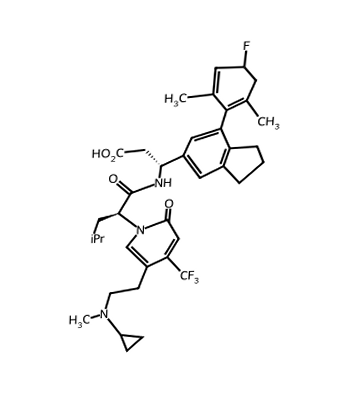 CC1=CC(F)CC(C)=C1c1cc([C@@H](CC(=O)O)NC(=O)[C@H](CC(C)C)n2cc(CCN(C)C3CC3)c(C(F)(F)F)cc2=O)cc2c1CCC2